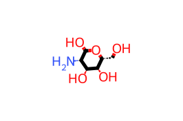 N[C@@H]1C(O)O[C@H](CO)[C@H](O)[C@@H]1O